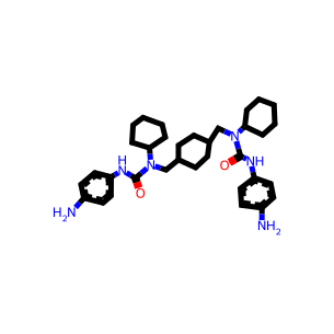 Nc1ccc(NC(=O)N(CC2CCC(CN(C(=O)Nc3ccc(N)cc3)C3CCCCC3)CC2)C2CCCCC2)cc1